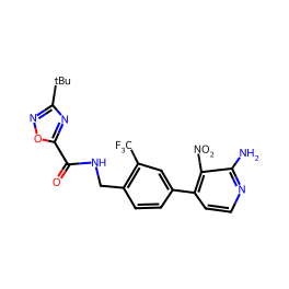 CC(C)(C)c1noc(C(=O)NCc2ccc(-c3ccnc(N)c3[N+](=O)[O-])cc2C(F)(F)F)n1